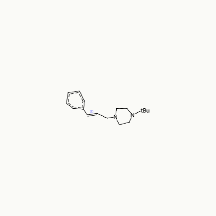 CC(C)(C)N1CCN(C/C=C/c2ccccc2)CC1